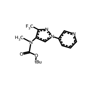 CN(C(=O)OC(C)(C)C)c1cn(-c2cccnc2)nc1C(F)(F)F